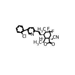 C[C@H]1OC(=O)[C@]2(CC#N)CC(F)(F)[C@@H](C)[C@H](/C=C/c3ccc(-c4ccccc4Cl)cn3)[C@H]12